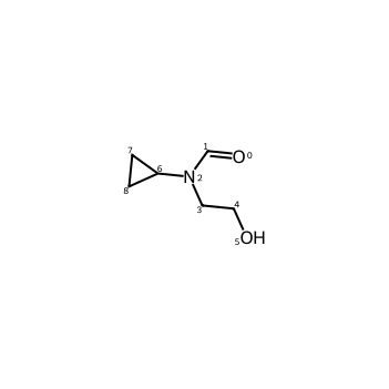 O=CN(CCO)C1CC1